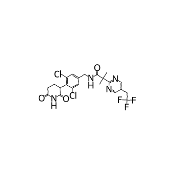 CC(C)(C(=O)NCc1cc(Cl)c(C2CCC(=O)NC2=O)c(Cl)c1)c1ncc(CC(F)(F)F)cn1